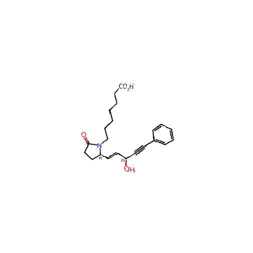 O=C(O)CCCCCCN1C(=O)CC[C@@H]1C=C[C@H](O)C#Cc1ccccc1